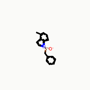 Cc1cccc2c1ccn2[S+]([O-])Cc1ccccc1